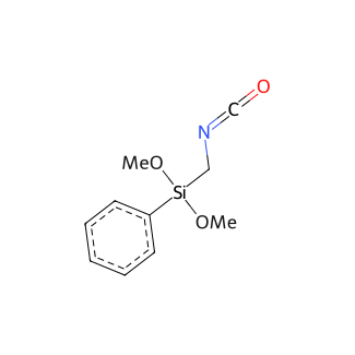 CO[Si](CN=C=O)(OC)c1ccccc1